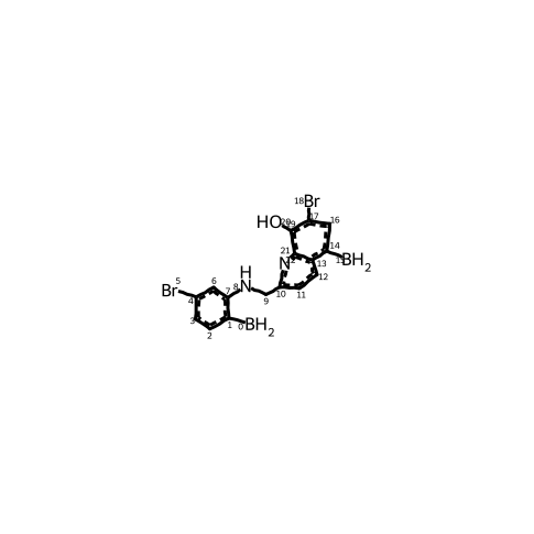 Bc1ccc(Br)cc1NCc1ccc2c(B)cc(Br)c(O)c2n1